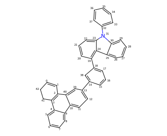 C1=Cc2c(c3ccccc3c3ccc(-c4cccc(-c5cccc6c5c5ccccc5n6-c5ccccc5)c4)cc23)CC1